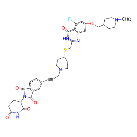 O=CN1CCC(COc2cc(F)c3c(=O)[nH]c(CSC4CCN(CC#Cc5ccc6c(c5)C(=O)N(C5CCC(=O)NC5=O)C6=O)CC4)nc3c2)CC1